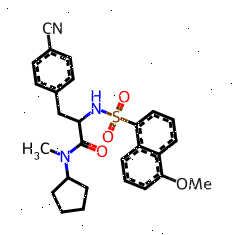 COc1cccc2c(S(=O)(=O)NC(Cc3ccc(C#N)cc3)C(=O)N(C)C3CCCC3)cccc12